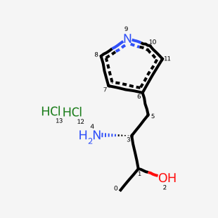 CC(O)[C@H](N)Cc1ccncc1.Cl.Cl